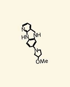 COC1CCN(c2ccc3c(c2)NCc2cccnc2N3)C1